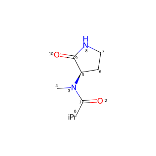 CC(C)C(=O)N(C)[C@@H]1CCNC1=O